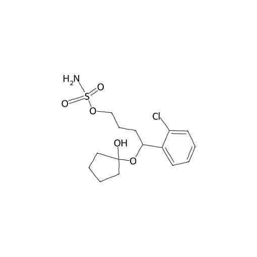 NS(=O)(=O)OCCCC(OC1(O)CCCC1)c1ccccc1Cl